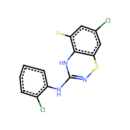 Fc1cc(Cl)cc2c1NC(Nc1ccccc1Cl)=NS2